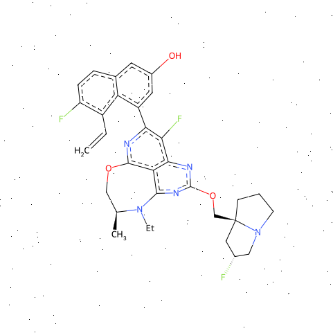 C=Cc1c(F)ccc2cc(O)cc(-c3nc4c5c(nc(OC[C@@]67CCCN6C[C@H](F)C7)nc5c3F)N(CC)[C@@H](C)CO4)c12